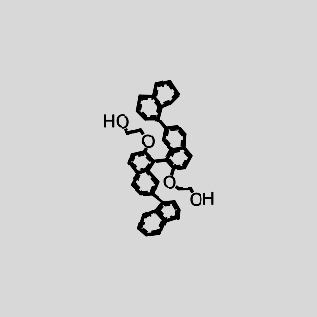 OCCOc1ccc2ccc(-c3cccc4ccccc34)cc2c1-c1c(OCCO)ccc2ccc(-c3cccc4ccccc34)cc12